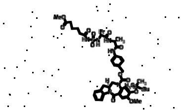 COC(=O)CCCCC(=O)NS(=O)(=O)N[C@H](C(=O)N[C@@H](C)C(=O)Nc1ccc(COC(=O)N2C[C@@H]3Cc4ccccc4N3C(=O)c3cc(OC)c(O[Si](C)(C)C(C)(C)C)cc32)cc1)C(C)C